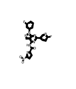 O=C(Nc1nc(-c2ccc(F)nc2)nc2c1cnn2-c1cccc(F)c1)c1ccc([N+](=O)[O-])s1